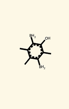 Bc1c(C)c(C)c(B)c(O)c1C